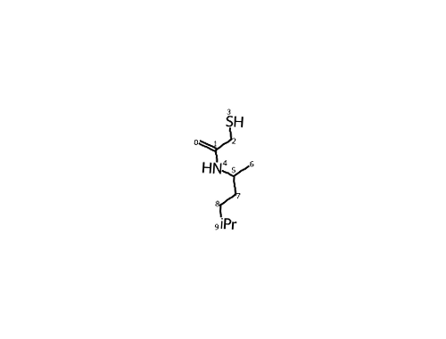 C=C(CS)NC(C)CCC(C)C